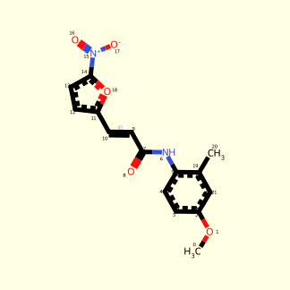 COc1ccc(NC(=O)/C=C/c2ccc([N+](=O)[O-])o2)c(C)c1